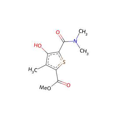 COC(=O)c1sc(C(=O)N(C)C)c(O)c1C